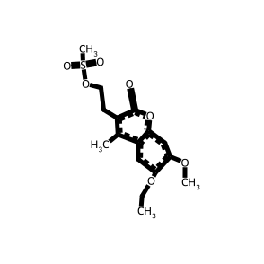 CCOc1cc2c(C)c(CCOS(C)(=O)=O)c(=O)oc2cc1OC